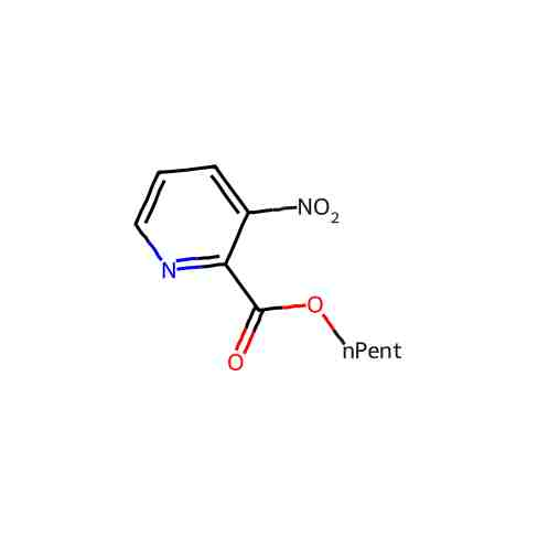 CCCCCOC(=O)c1ncccc1[N+](=O)[O-]